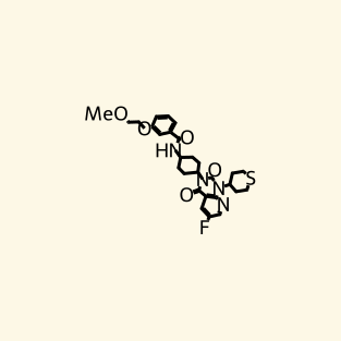 COCCOc1cccc(C(=O)NC2CCC(n3c(=O)c4cc(F)cnc4n(C4CCSCC4)c3=O)CC2)c1